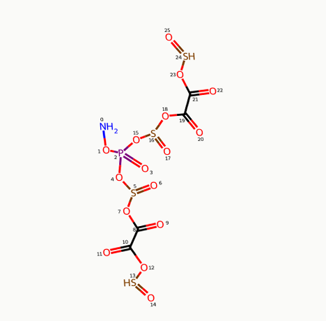 NOP(=O)(OS(=O)OC(=O)C(=O)O[SH]=O)OS(=O)OC(=O)C(=O)O[SH]=O